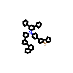 c1ccc(-c2cc(-c3ccccc3)cc(N(c3ccc(-c4ccc5sc6ccccc6c5c4)cc3)c3cccc(-c4cccc(-c5cccc6ccccc56)c4)c3)c2)cc1